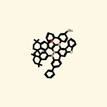 CC(C)(C)c1ccc(N2c3oc4cc5c(cc4c3B3c4c(cc6oc7ccccc7c6c42)-c2ccc(-c4ccccc4)cc2N3c2ccc3c(c2)C(C)(C)CCC3(C)C)C(C)(C)CCC5(C)C)c(-c2ccccc2)c1